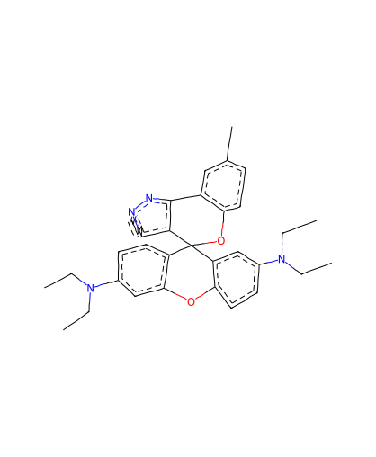 CCN(CC)c1ccc2c(c1)Oc1ccc(N(CC)CC)cc1C21Oc2ccc(C)cc2-c2nn3ccccc3c21